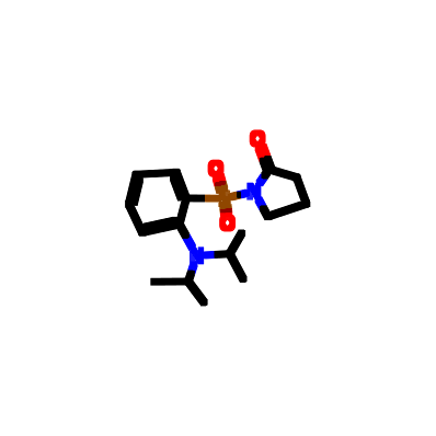 CC(C)N(c1ccccc1S(=O)(=O)N1CCCC1=O)C(C)C